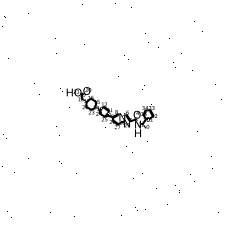 C[C@@H](NC(=O)c1cn2cc(-c3ccc([C@H]4CC[C@H](CC(=O)O)CC4)cc3)ccc2n1)c1ccccc1